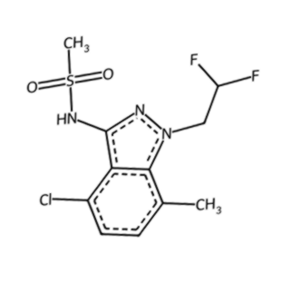 Cc1ccc(Cl)c2c(NS(C)(=O)=O)nn(CC(F)F)c12